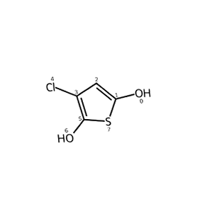 Oc1cc(Cl)c(O)s1